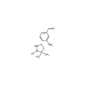 CC1(C)CSNN1Cl.Nc1cccc(C=O)c1